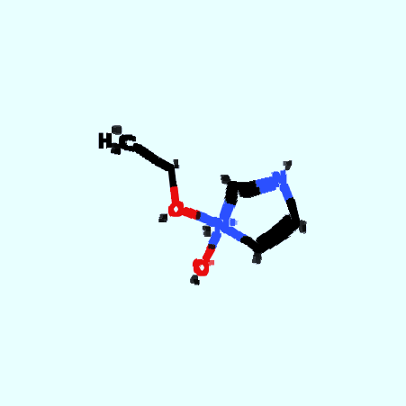 CCO[N+]1([O-])C=CN=C1